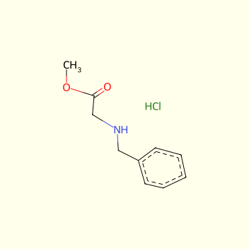 COC(=O)CNCc1ccccc1.Cl